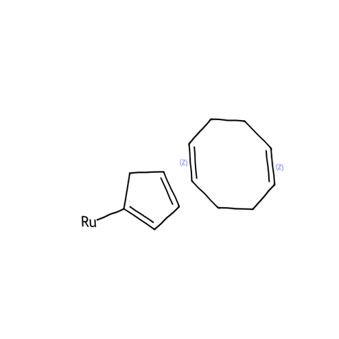 C1=C\CC/C=C\CC/1.[Ru][C]1=CC=CC1